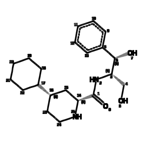 O=C(N[C@@H](CO)[C@@H](O)c1ccccc1)[C@H]1C[C@@H](C2CCCCC2)CCN1